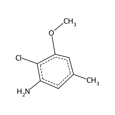 COc1cc(C)cc(N)c1Cl